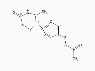 CC(=O)COc1ccc(C2=C(C)NC(=O)CC2)cc1